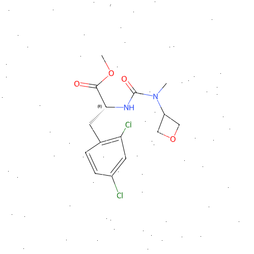 COC(=O)[C@@H](Cc1ccc(Cl)cc1Cl)NC(=O)N(C)C1COC1